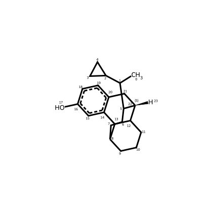 CC(C1CC1)C1CCC2CCCC3C2c2cc(O)ccc2C[C@@H]13